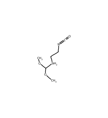 COC(OC)[SiH2]CCN=C=O